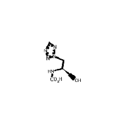 C#C[C@H](Cn1ncnn1)NC(=O)O